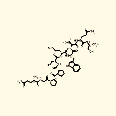 CSCC[C@H](NC(=O)[C@H](CC(C)C)NC(=O)[C@@H]1CCCN1C(=O)[C@@H]1CCCN1C(=O)CNC(=O)[C@@H](N)CCC(N)=O)C(=O)N[C@@H](Cc1c[nH]c2ccccc12)C(=O)N[C@H](C(=O)N[C@@H](CCC(N)=O)C(=O)N[C@@H](CO)C(=O)O)[C@@H](C)O